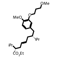 CCOC(=O)[C@@H](CC=CC[C@H](Cc1ccc(OC)c(OCCCOC)c1)C(C)C)C(C)C